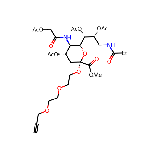 C#CCOCCOCCO[C@]1(C(=O)OC)C[C@H](OC(C)=O)[C@@H](NC(=O)COC(C)=O)[C@H]([C@H](OC(C)=O)[C@@H](CNC(=O)CC)OC(C)=O)O1